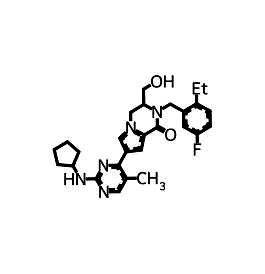 CCc1ccc(F)cc1CN1C(=O)c2cc(-c3nc(NC4CCCC4)ncc3C)cn2CC1CO